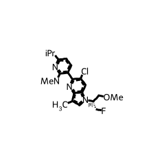 CNc1nc(C(C)C)ccc1-c1nc2c(C)cn([C@@H](CF)COC)c2cc1Cl